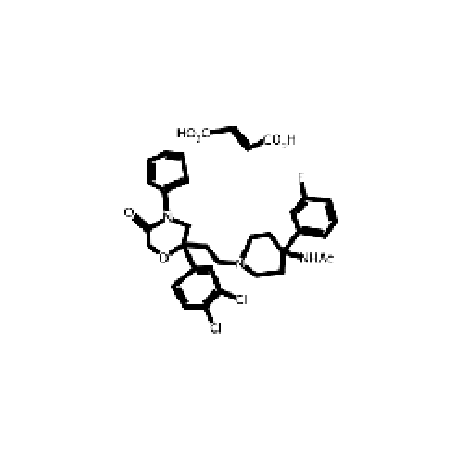 CC(=O)NC1(c2cccc(F)c2)CCN(CCC2(c3ccc(Cl)c(Cl)c3)CN(c3ccccc3)C(=O)CO2)CC1.O=C(O)C=CC(=O)O